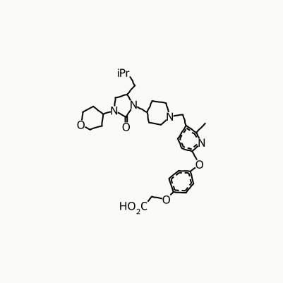 Cc1nc(Oc2ccc(OCC(=O)O)cc2)ccc1CN1CCC(N2C(=O)N(C3CCOCC3)CC2CC(C)C)CC1